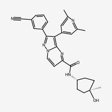 Cc1cc(-c2c(-c3cccc(C#N)c3)nn3ccc(C(=O)N[C@H]4CC[C@](C)(O)CC4)nc23)cc(C)n1